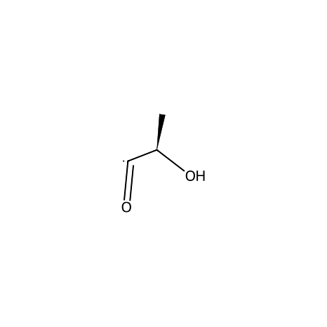 C[C@@H](O)[C]=O